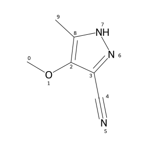 COc1c(C#N)n[nH]c1C